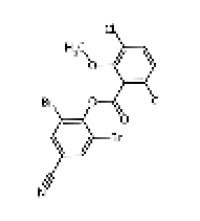 COc1c(Cl)ccc(Cl)c1C(=O)Oc1c(Br)cc(C#N)cc1Br